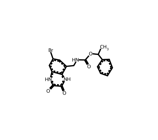 CC(OC(=O)NCc1cc(Br)cc2[nH]c(=O)c(=O)[nH]c12)c1ccccc1